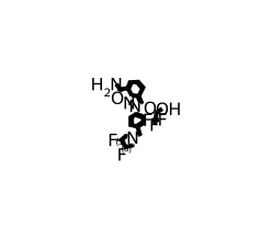 NC(=O)c1cccc2cn(-c3ccc(CN4C[C@H](F)[C@@H](F)C4)cc3)nc12.O=C(O)C(F)(F)F